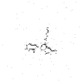 COc1ccc2cc(-c3nc4ncccc4[nH]3)cc(OCCCSC)c2c1